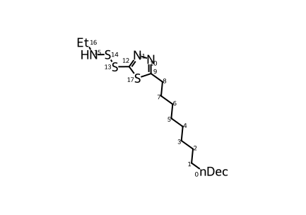 CCCCCCCCCCCCCCCCCCc1nnc(SSNCC)s1